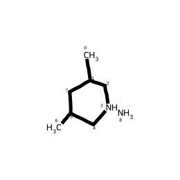 CC1CNCC(C)C1.N